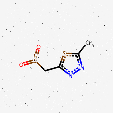 O=[SH](=O)Cc1nnc(C(F)(F)F)s1